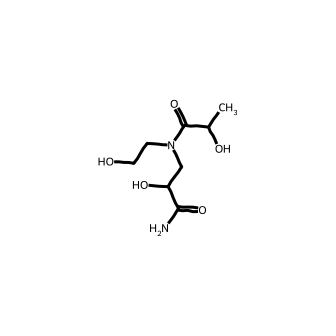 CC(O)C(=O)N(CCO)CC(O)C(N)=O